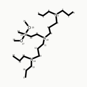 CCCN(CCC)CCCN(CCCN(CCC)CCC)CC[Si](C)(OC)OC